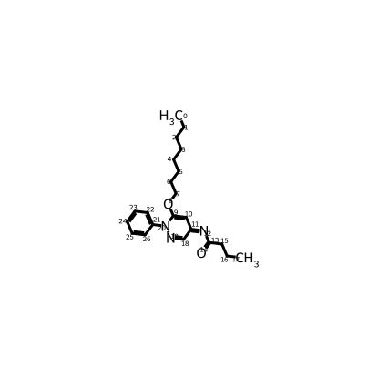 CCCCCCCCOc1cc(=NC(=O)CCC)cnn1-c1ccccc1